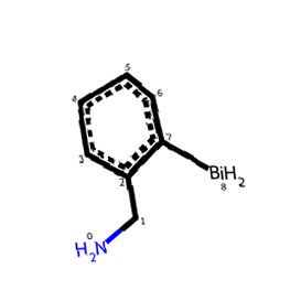 NCc1cccc[c]1[BiH2]